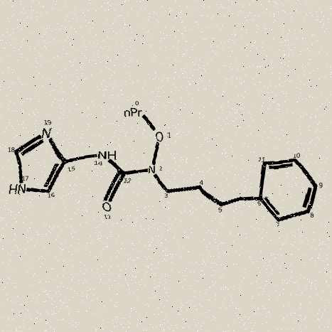 CCCON(CCCc1ccccc1)C(=O)Nc1c[nH]cn1